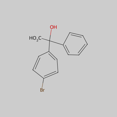 O=C(O)C(O)(c1ccccc1)c1ccc(Br)cc1